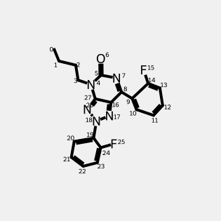 CCCCn1c(=O)nc(-c2ccccc2F)c2nn(-c3ccccc3F)nc21